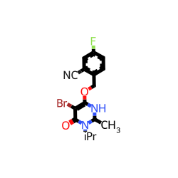 CC(C)N1C(=O)C(Br)=C(OCc2ccc(F)cc2C#N)NC1C